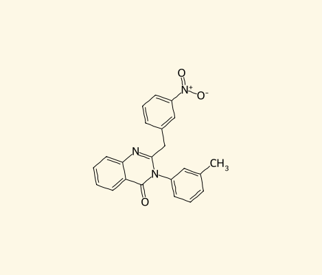 Cc1cccc(-n2c(Cc3cccc([N+](=O)[O-])c3)nc3ccccc3c2=O)c1